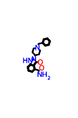 NC(=O)c1cccc2[nH]n(C3CCN(Cc4ccccc4)CC3)c(=O)c12